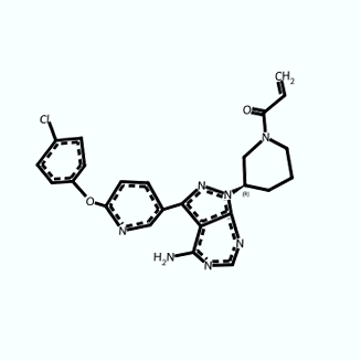 C=CC(=O)N1CCC[C@@H](n2nc(-c3ccc(Oc4ccc(Cl)cc4)nc3)c3c(N)ncnc32)C1